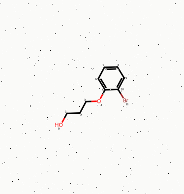 OCCCOc1ccccc1Br